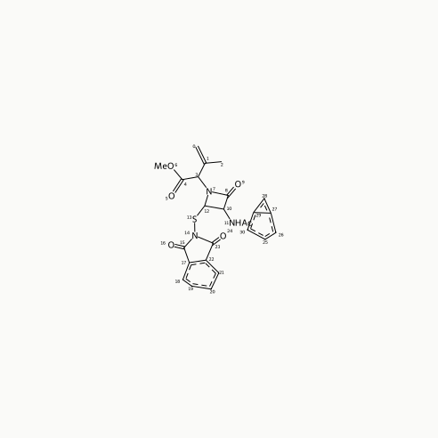 C=C(C)C(C(=O)OC)N1C(=O)C(NC(C)=O)C1SN1C(=O)c2ccccc2C1=O.c1cc2cc-2c1